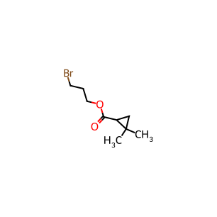 CC1(C)CC1C(=O)OCCCBr